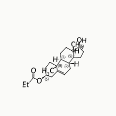 CCC(=O)O[C@H]1CC[C@@]2(C)C(=CC[C@H]3[C@@H]4CC[C@H](O)[C@@]4(C)CC[C@@H]32)C1